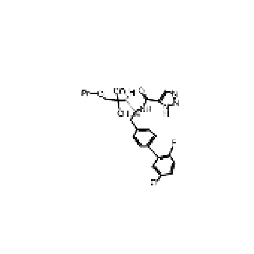 CC(C)OCC(C)(C[C@@H](Cc1ccc(-c2cc(Cl)ccc2F)cc1)NC(=O)c1cnn[nH]1)C(=O)O